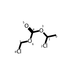 CC(Cl)OC(=O)OCCl